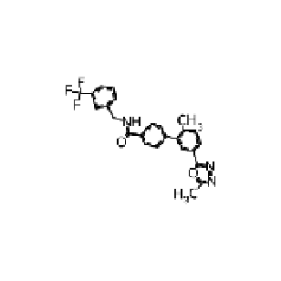 Cc1nnc(-c2ccc(C)c(-c3ccc(C(=O)NCc4cccc(C(F)(F)F)c4)cc3)c2)o1